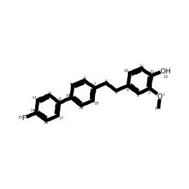 COc1cc(CCc2ccc(-c3ccc(F)cc3)cc2)ccc1O